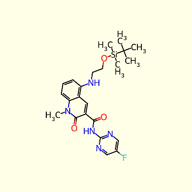 Cn1c(=O)c(C(=O)Nc2ncc(F)cn2)cc2c(NCCO[Si](C)(C)C(C)(C)C)cccc21